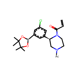 C=CC(=O)N1CCN(C(C)=O)C[C@H]1c1cc(Cl)cc(B2OC(C)(C)C(C)(C)O2)c1